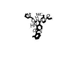 C=CC(=O)N1CCN(C2NC(OCC3CCCN3C)NC3C(=O)[C@@]4(CCC32)Cc2c(C)cccc2S4)CC1CC#N